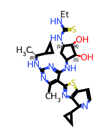 CCNC(=S)N[C@H]1CC(Nc2nc(N[C@H](C)C3CC3)nc(C)c2-c2nc3c(C4CC4)nccc3s2)[C@H](O)[C@@H]1O